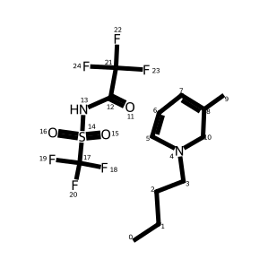 CCCCN1C=CC=C(C)C1.O=C(NS(=O)(=O)C(F)(F)F)C(F)(F)F